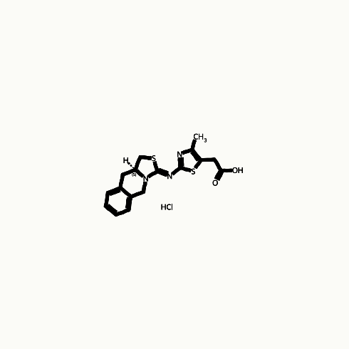 Cc1nc(N=C2SC[C@@H]3Cc4ccccc4CN23)sc1CC(=O)O.Cl